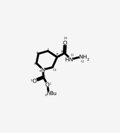 CCCCOC(=O)N1CCCC(C(=O)NN)C1